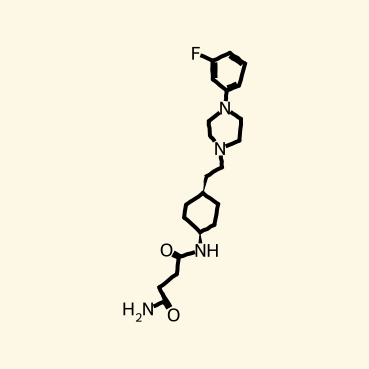 NC(=O)CCC(=O)N[C@H]1CC[C@@H](CCN2CCN(c3cccc(F)c3)CC2)CC1